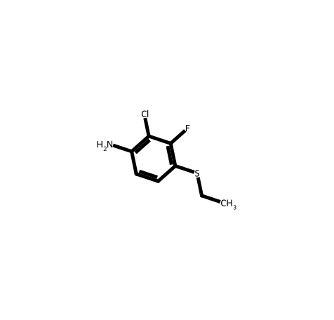 CCSc1ccc(N)c(Cl)c1F